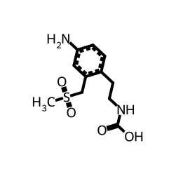 CS(=O)(=O)Cc1cc(N)ccc1CCNC(=O)O